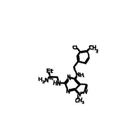 CC[C@H](N)CNc1nc(NCc2ccc(C)c(Cl)c2)c2cnn(C)c2n1